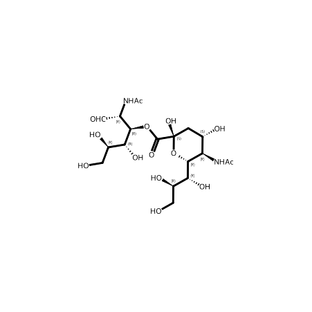 CC(=O)N[C@H]1[C@H]([C@H](O)[C@H](O)CO)O[C@](O)(C(=O)O[C@@H]([C@H](O)[C@H](O)CO)[C@H](C=O)NC(C)=O)C[C@@H]1O